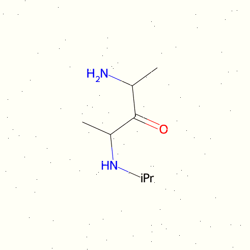 CC(C)NC(C)C(=O)C(C)N